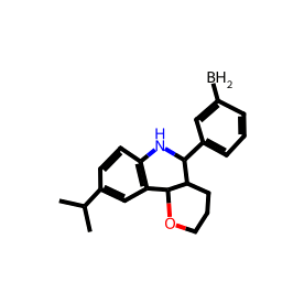 Bc1cccc(C2Nc3ccc(C(C)C)cc3C3OCCCC23)c1